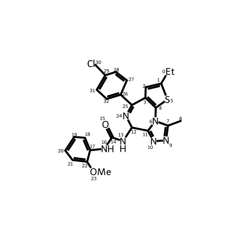 CCc1cc2c(s1)-n1c(C)nnc1C(NC(=O)Nc1ccccc1OC)N=C2c1ccc(Cl)cc1